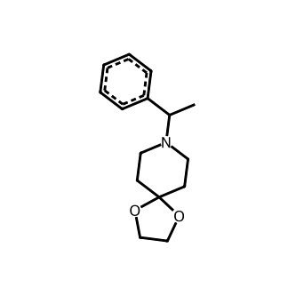 CC(c1ccccc1)N1CCC2(CC1)OCCO2